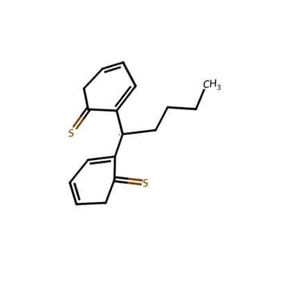 CCCC[C](C1=CC=CCC1=S)C1=CC=CCC1=S